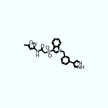 Cc1cc(NC(=O)CS(=O)(=O)c2cn(Cc3cccc(-c4cn[nH]c4)c3)c3ccccc23)no1